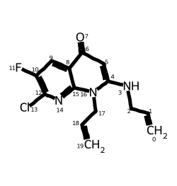 C=CCNc1cc(=O)c2cc(F)c(Cl)nc2n1CC=C